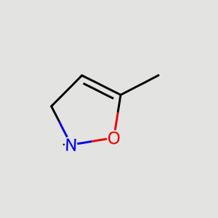 CC1=CC[N]O1